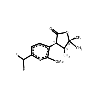 COc1nc(C(F)F)ccc1[C@H]1C(=O)O[C@@](C)(C(F)(F)F)[C@H]1C